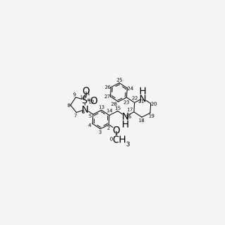 COc1ccc(N2CCCS2(=O)=O)cc1CNC1CCCNC1c1ccccc1